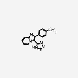 Cc1ccc(-c2nc3ccccn3c2-c2nnn[nH]2)cc1